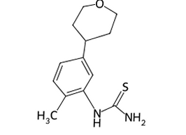 Cc1ccc(C2CCOCC2)cc1NC(N)=S